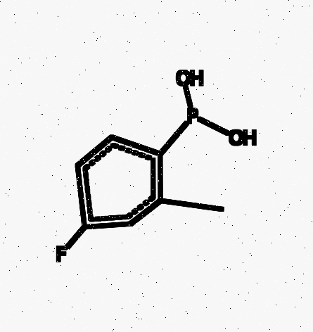 Cc1cc(F)ccc1P(O)O